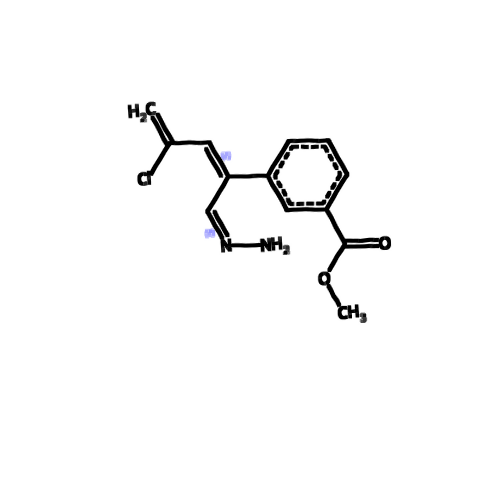 C=C(Cl)/C=C(\C=N/N)c1cccc(C(=O)OC)c1